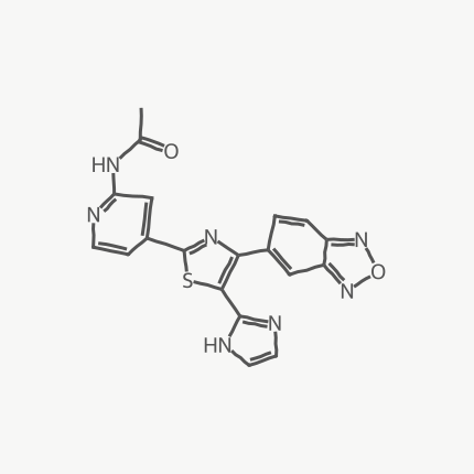 CC(=O)Nc1cc(-c2nc(-c3ccc4nonc4c3)c(-c3ncc[nH]3)s2)ccn1